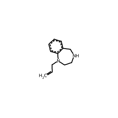 C=CCN1CCNCc2ccccc21